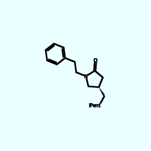 CCCC(C)C[C@H]1CC(=O)N(CCc2ccccc2)C1